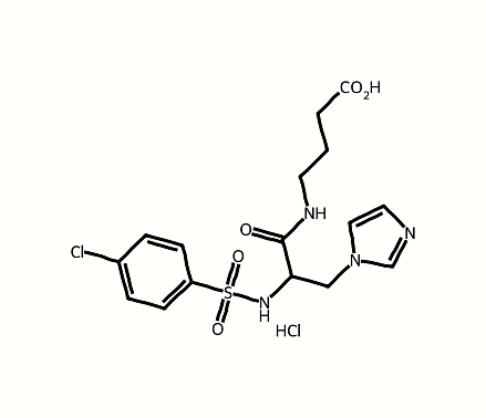 Cl.O=C(O)CCCNC(=O)C(Cn1ccnc1)NS(=O)(=O)c1ccc(Cl)cc1